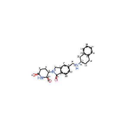 O=C1CCC(N2Cc3cc(CN[C@@H]4CCc5ccccc5C4)ccc3C2=O)C(=O)N1